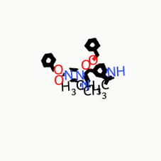 Cc1c[nH]c2cc(OCc3ccccc3)c(C(=O)/C(=C/N(C)C)N3CCN(C(=O)OCc4ccccc4)CC3)cc12